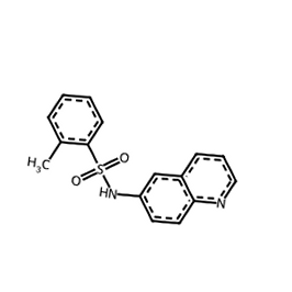 Cc1ccccc1S(=O)(=O)Nc1ccc2ncccc2c1